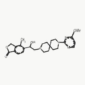 COc1ccnc(N2CCC3(CCN(CC(O)c4ccc5c(c4C)COC5=O)CC3)CC2)n1